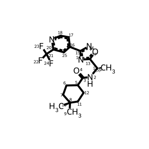 C[C@H](NC(=O)C1CCC(C)(C)CC1)c1nc(-c2ccnc(C(F)(F)F)c2)no1